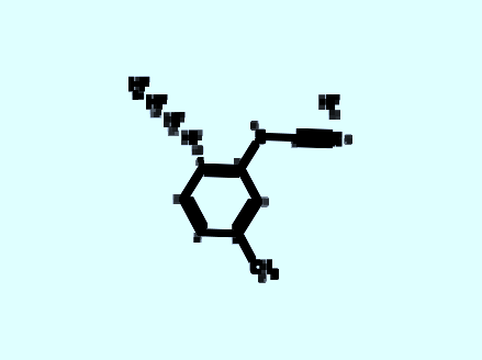 Cc1cccc(SC#N)c1.F.F.F.F.F